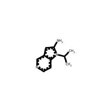 CC(C)n1c(N)cc2cnccc21